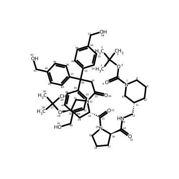 CC(C)(C)OC(=O)N1CCC[C@H](CNC(=O)[C@H]2CCCN2C(=O)[C@@H]2C[C@@H](OC(C)(C)C)CN2C(=O)CC(c2ccc(CO)cc2)(c2ccc(CO)cc2)c2ccc(CO)cc2)C1